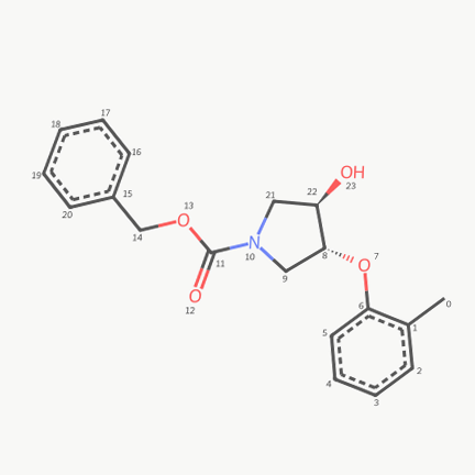 Cc1ccccc1O[C@@H]1CN(C(=O)OCc2ccccc2)C[C@H]1O